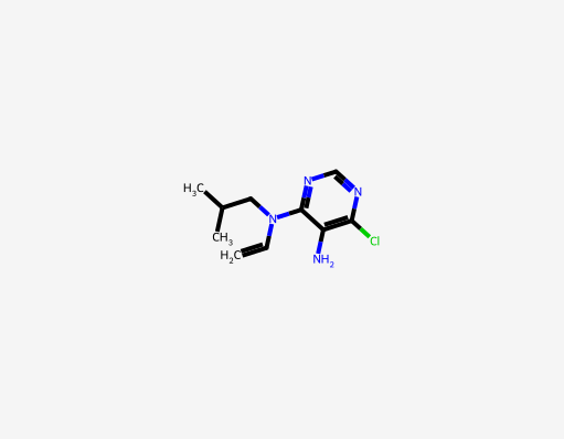 C=CN(CC(C)C)c1ncnc(Cl)c1N